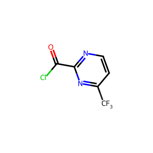 O=C(Cl)c1nccc(C(F)(F)F)n1